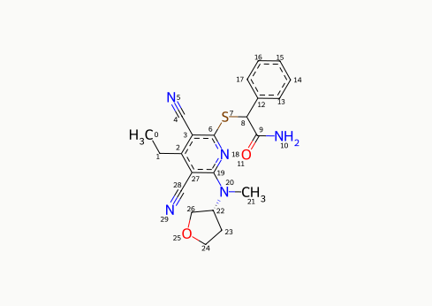 CCc1c(C#N)c(SC(C(N)=O)c2ccccc2)nc(N(C)[C@@H]2CCOC2)c1C#N